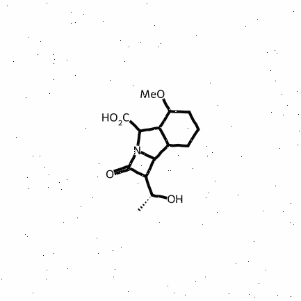 COC1CCCC2C1C(C(=O)O)N1C(=O)C([C@@H](C)O)C21